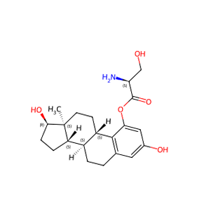 C[C@]12CC[C@@H]3c4c(cc(O)cc4OC(=O)[C@@H](N)CO)CC[C@H]3[C@@H]1CC[C@H]2O